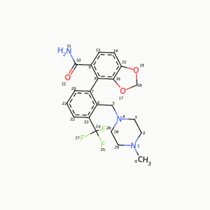 CN1CCN(Cc2c(-c3c(C(N)=O)ccc4c3OCO4)cccc2C(F)(F)F)CC1